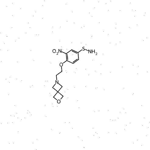 NSc1ccc(OCCN2CC3(COC3)C2)c([N+](=O)[O-])c1